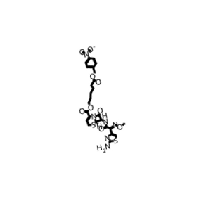 CON=C(C(=O)NC1C(=O)N2C(C(=O)OCCCCCC(=O)OCc3ccc([N+](=O)[O-])cc3)=CCS[C@@H]12)c1csc(N)n1